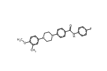 COc1ccc(N2CCN(c3ccc(C(=O)Nc4ccc(F)cc4)cc3)CC2)cc1C